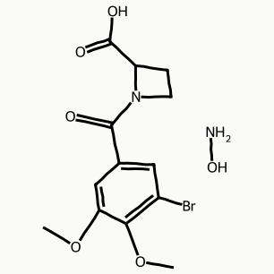 COc1cc(C(=O)N2CCC2C(=O)O)cc(Br)c1OC.NO